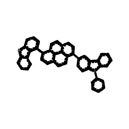 c1ccc(-n2c3ccccc3c3cc(-c4ccc5ccc6c(-c7cccc8oc9ccccc9c78)ccc7ccc4c5c76)ccc32)cc1